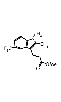 COC(=O)CCc1c(C)n(C)c2ccc(C(F)(F)F)cc12